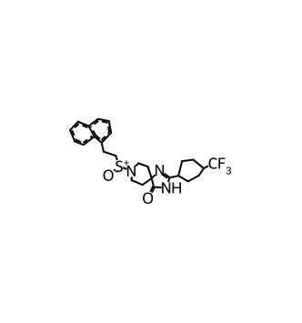 O=C1NC(C2CCC(C(F)(F)F)CC2)=NC12CCN([S+]([O-])CCc1cccc3ccccc13)CC2